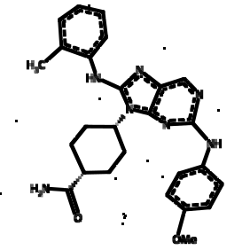 COc1ccc(Nc2ncc3nc(Nc4ccccc4C)n([C@H]4CC[C@@H](C(N)=O)CC4)c3n2)cc1